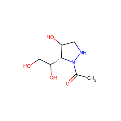 CC(=O)N1NCC(O)[C@H]1C(O)CO